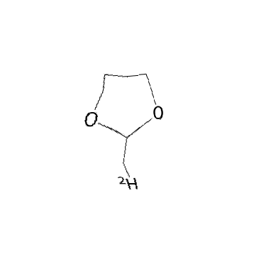 [2H]C1OCCO1